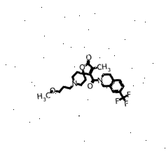 COCCCN1CCC2(CC1)OC(=O)C(C)=C2C(=O)N1CCc2ccc(C(F)(F)F)cc2C1